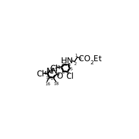 CCOC(=O)CCNc1cc(Cl)c(Oc2nnc(Cl)c(C)c2C)c(Cl)c1